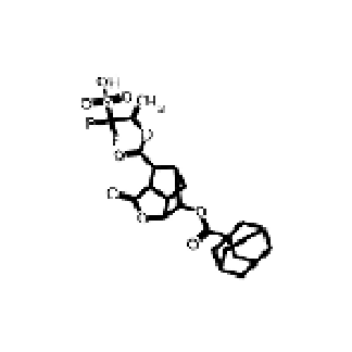 CC(OC(=O)C1C2CC3C(OC(=O)C31)C2OC(=O)C12CC3CC(CC(C3)C1)C2)C(F)(F)S(=O)(=O)O